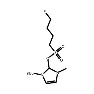 CCCCN1C=CN(C)C1OS(=O)(=O)CCCCF